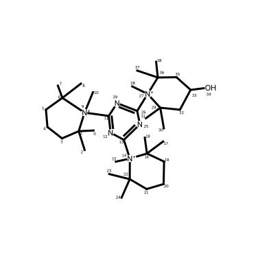 CC1(C)CCCC(C)(C)[N+]1(C)c1nc([N+]2(C)C(C)(C)CCCC2(C)C)nc([N+]2(C)C(C)(C)CC(O)CC2(C)C)n1